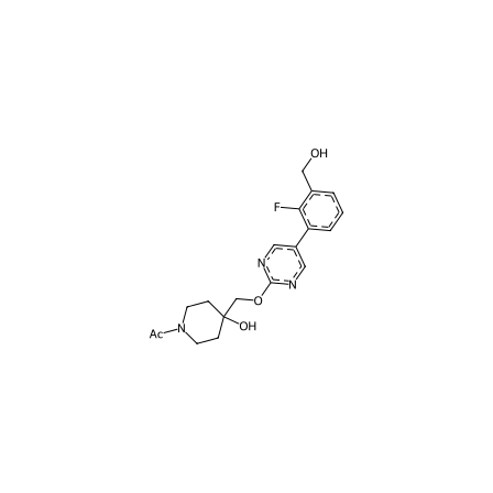 CC(=O)N1CCC(O)(COc2ncc(-c3cccc(CO)c3F)cn2)CC1